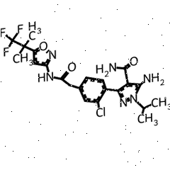 CC(C)n1nc(-c2ccc(CC(=O)Nc3cc(C(C)(C)C(F)(F)F)on3)cc2Cl)c(C(N)=O)c1N